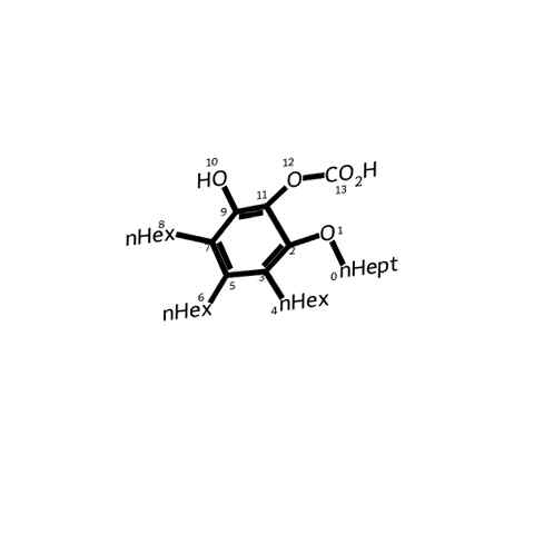 CCCCCCCOc1c(CCCCCC)c(CCCCCC)c(CCCCCC)c(O)c1OC(=O)O